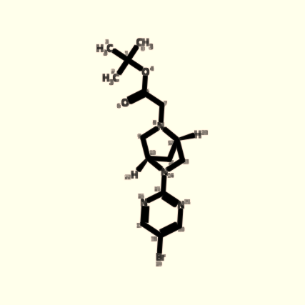 CC(C)(C)OC(=O)CN1C[C@@H]2C[C@H]1CN2c1ncc(Br)cn1